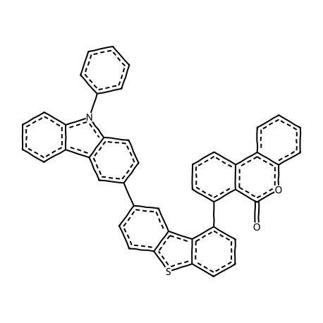 O=c1oc2ccccc2c2cccc(-c3cccc4sc5ccc(-c6ccc7c(c6)c6ccccc6n7-c6ccccc6)cc5c34)c12